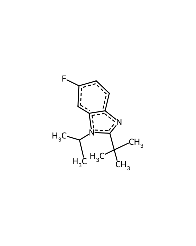 CC(C)n1c(C(C)(C)C)nc2ccc(F)cc21